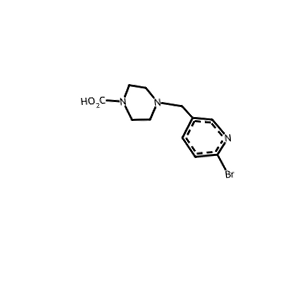 O=C(O)N1CCN(Cc2ccc(Br)nc2)CC1